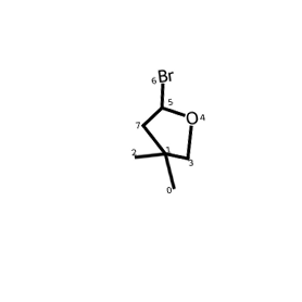 CC1(C)COC(Br)C1